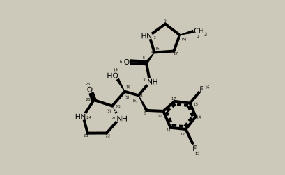 C[C@@H]1CN[C@H](C(=O)N[C@@H](Cc2cc(F)cc(F)c2)[C@H](O)[C@@H]2NCCNC2=O)C1